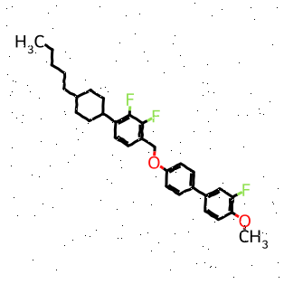 CCCCCC1CCC(c2ccc(COc3ccc(-c4ccc(OC)c(F)c4)cc3)c(F)c2F)CC1